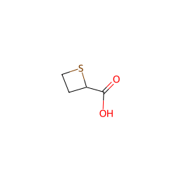 O=C(O)C1CCS1